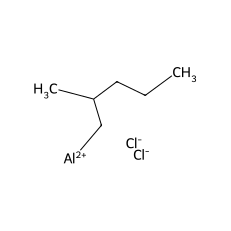 CCCC(C)[CH2][Al+2].[Cl-].[Cl-]